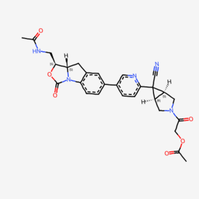 CC(=O)NC[C@@H]1OC(=O)N2c3ccc(-c4ccc(C5(C#N)[C@@H]6CN(C(=O)COC(C)=O)C[C@@H]65)nc4)cc3C[C@@H]12